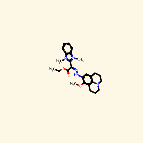 CCOC(=O)/C(=N\Nc1cc2c3c(c1OC)CCCN3CCC2)c1n(C)c2ccccc2[n+]1C